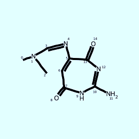 CN(C)/C=N\c1cc(=O)[nH]c(N)nc1=O